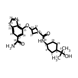 CC(C)(O)C1CCC(NC(=O)N2CC(Oc3cc(C(N)=O)cc4scnc34)C2)CC1